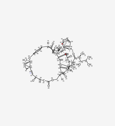 CC[C@@H](C)[C@@H]1NC(=O)[C@H](NC(=O)[C@@H](C)[C@@H](O)C(C)C)[C@H](C)OC(=O)[C@H]2COC(=O)CNC(=O)/C=C/[C@@]3(CO3)[C@H](C)Oc3ccc(cc3)[C@H](NC1=O)C(=O)N(C)[C@H](Cc1ccccc1)C(=O)N[C@@H]([C@H](C)O)C(=O)N2